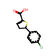 O=C(O)C1=CCC(c2ccc(Cl)cc2)S1